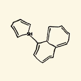 C1=C[SH](c2cccc3ccccc23)C=C1